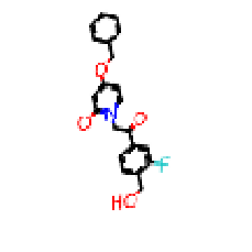 O=C(Cn1ccc(OCc2ccccc2)cc1=O)c1ccc(CO)c(F)c1